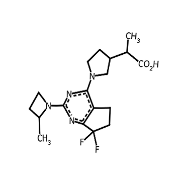 CC(C(=O)O)C1CCN(c2nc(N3CCC3C)nc3c2CCC3(F)F)C1